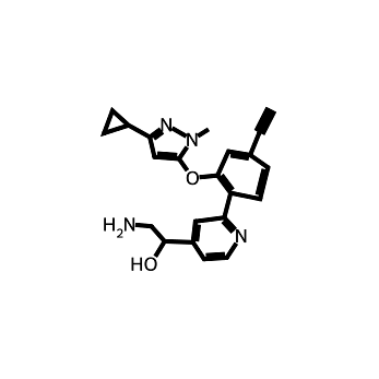 C#Cc1ccc(-c2cc(C(O)CN)ccn2)c(Oc2cc(C3CC3)nn2C)c1